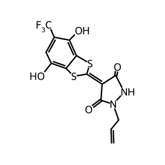 C=CCN1NC(=O)/C(=C2/Sc3c(O)cc(C(F)(F)F)c(O)c3S2)C1=O